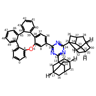 c1ccc2c(c1)oc1cc(-c3nc(C45CC6C[C@H](C4)C[C@@H](C6)C5)nc(C45CC6C[C@@H]7C[C@@H](C4)[C@@H]7C65)n3)ccc1c1ccccc1c1ccccc21